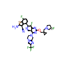 N#Cc1c(N)sc2c(F)ccc(-c3ncc4c(N5CCn6cc(C(F)(F)F)nc6C5)nc(OCC5(CN6CC[C@@H](F)C6)CC5)nc4c3F)c12